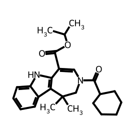 CC(C)OC(=O)C1=CN(C(=O)C2CCCCC2)CC(C)(C)c2c1[nH]c1ccccc21